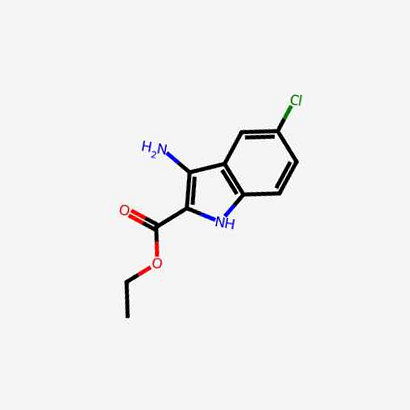 CCOC(=O)c1[nH]c2ccc(Cl)cc2c1N